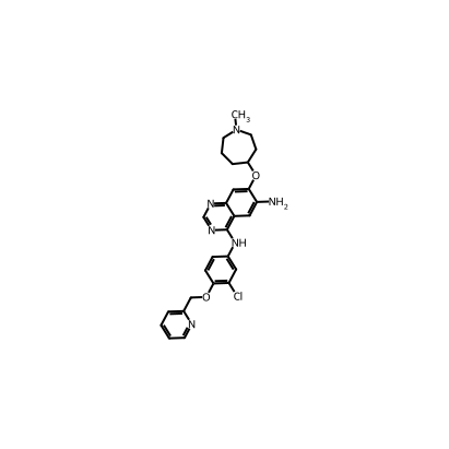 CN1CCCC(Oc2cc3ncnc(Nc4ccc(OCc5ccccn5)c(Cl)c4)c3cc2N)CC1